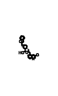 COc1cnc2cccc(CCC[C@H]3CCN(Cc4cc5ccccc5o4)C[C@@H]3C(=O)O)c2c1